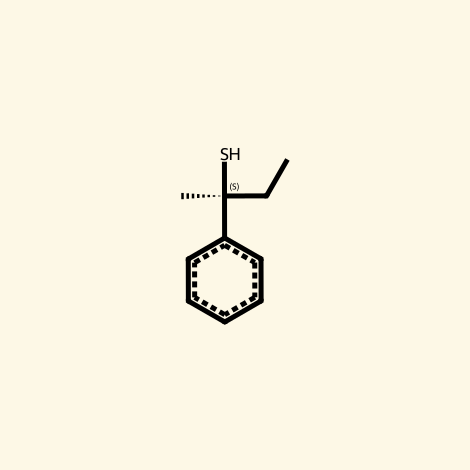 CC[C@](C)(S)c1ccccc1